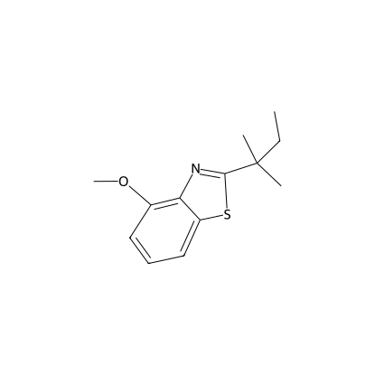 CCC(C)(C)c1nc2c(OC)cccc2s1